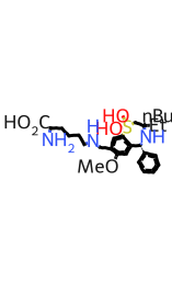 CCCC[C@]1(CC)CS(O)(O)c2cc(CNCCCC[C@H](N)C(=O)O)c(OC)cc2[C@@H](c2ccccc2)N1